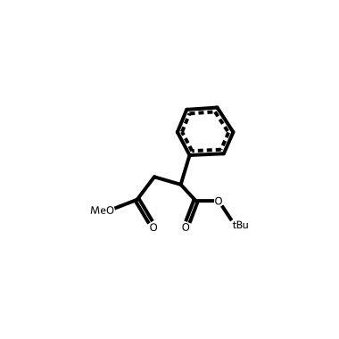 COC(=O)CC(C(=O)OC(C)(C)C)c1ccccc1